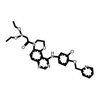 CCOP(CC(=O)N1CCOc2c1ccc1ncnc(Nc3ccc(OCc4ccccn4)c(Cl)c3)c21)OCC